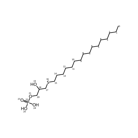 CCCCCCCCCCCCCCCCSCC(O)COP(=O)(O)O